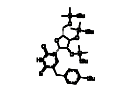 CC(C)(C)c1ccc(Cc2cn([C@@H]3O[C@H](CO[Si](C)(C)C(C)(C)C)[C@@H](O[Si](C)(C)C(C)(C)C)[C@H]3O[Si](C)(C)C(C)(C)C)c(=O)[nH]c2=S)cc1